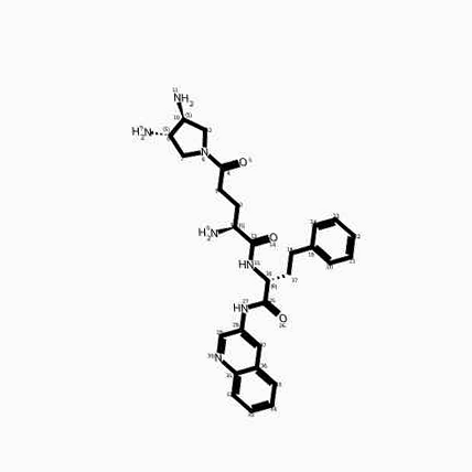 N[C@@H](CCC(=O)N1C[C@H](N)[C@@H](N)C1)C(=O)N[C@H](CCc1ccccc1)C(=O)Nc1cnc2ccccc2c1